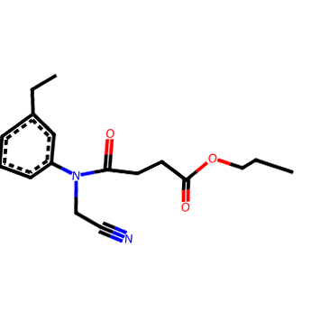 CCCOC(=O)CCC(=O)N(CC#N)c1cccc(CC)c1